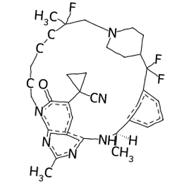 Cc1nc2c3cc(C4(C#N)CC4)c(=O)n(c3n1)CCCCCC(C)(F)CN1CCC(CC1)C(F)(F)c1cccc(c1)[C@@H](C)N2